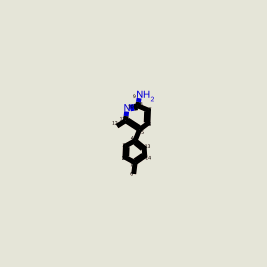 Cc1ccc(-c2ccc(N)nc2C)cc1